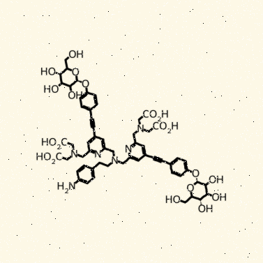 Nc1ccc(CCN(Cc2cc(C#Cc3ccc(O[C@H]4OC(CO)[C@@H](O)C(O)C4O)cc3)cc(CN(CC(=O)O)CC(=O)O)n2)Cc2cc(C#Cc3ccc(O[C@@H]4OC(CO)[C@H](O)C(O)C4O)cc3)cc(CN(CC(=O)O)CC(=O)O)n2)cc1